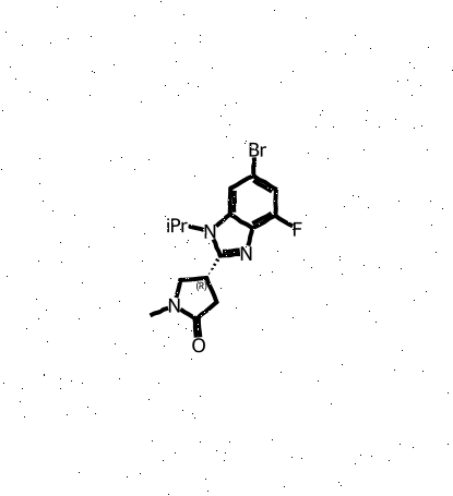 CC(C)n1c([C@@H]2CC(=O)N(C)C2)nc2c(F)cc(Br)cc21